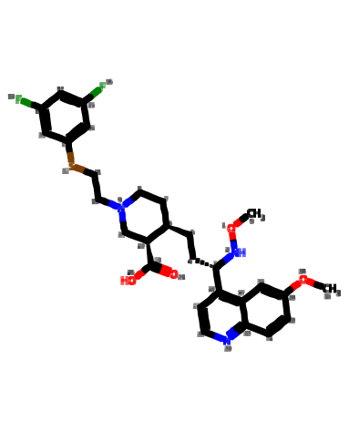 CON[C@@H](CC[C@@H]1CCN(CCSc2cc(F)cc(F)c2)C[C@@H]1C(=O)O)c1ccnc2ccc(OC)cc12